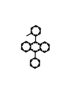 Cc1ccccc1-c1c2ccccc2c(-c2ccccc2)c2ccccc12